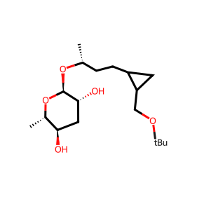 C[C@H](CCC1CC1COC(C)(C)C)O[C@@H]1O[C@@H](C)[C@H](O)C[C@H]1O